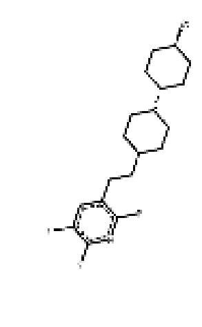 CC[C@H]1CC[C@H](C2CCC(CCc3cc(F)c(F)nc3F)CC2)CC1